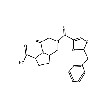 O=C(O)C1CCC2CN(C(=O)C3=COC(Cc4ccccc4)O3)CC(=O)N21